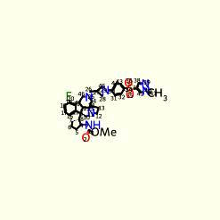 COC(=O)N[C@H]1CCC[C@@H]1[C@](CN1CCC1)(c1cccc(F)c1)C1CCN(CC2CN(c3ccc(S(=O)(=O)c4cnn(C)c4)cc3)C2)CC1